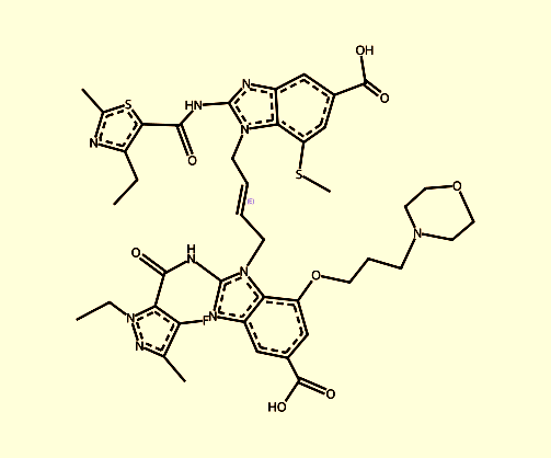 CCc1nc(C)sc1C(=O)Nc1nc2cc(C(=O)O)cc(SC)c2n1C/C=C/Cn1c(NC(=O)c2c(F)c(C)nn2CC)nc2cc(C(=O)O)cc(OCCCN3CCOCC3)c21